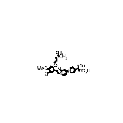 COc1cc(OCCCN(C)C)c(-c2cn3ccc(N4CCC(N(C(=O)O)C(C)(C)C)CC4)cc3n2)cc1Cl